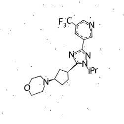 CC(C)n1nc(-c2cncc(C(F)(F)F)c2)nc1[C@H]1CC[C@@H](N2CCOCC2)C1